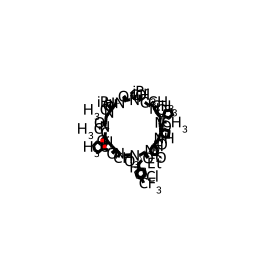 CCO[C@@H]1C[C@H]2C(=O)NC3(CCCC3)C(=O)N(C)[C@@H](C3CCCC3)C(=O)N(C)[C@H](C)CC(=O)N(C)[C@@H](CC(C)C)C(=O)N[C@@H]([C@@H](C)CC)C(=O)N(C)CC(=O)N(C)CC(=O)N(C)[C@@H](CC3CCCCC3)C(=O)N(C)CC(=O)N[C@@H](CCc3ccc(C(F)(F)F)c(Cl)c3)C(=O)N2C1